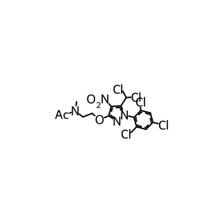 CC(=O)N(C)CCOc1nn(-c2c(Cl)cc(Cl)cc2Cl)c(C(Cl)Cl)c1[N+](=O)[O-]